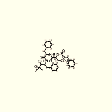 CC1(C(=O)C(Cc2ccccc2)NC(=O)C(Cc2ccccc2)NC(=O)C(CC(=O)O)NC(=O)OCc2ccccc2)CO1